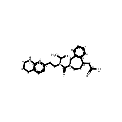 CC(C)N(CCc1ccc2c(n1)NCCC2)C(=O)N1CCC(CC(=O)O)c2ccccc2C1